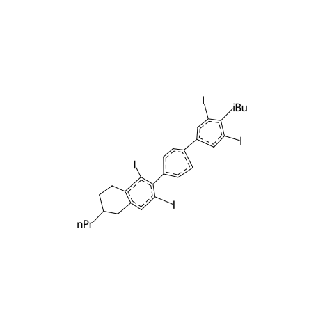 CCCC1CCc2c(cc(I)c(-c3ccc(-c4cc(I)c(C(C)CC)c(I)c4)cc3)c2I)C1